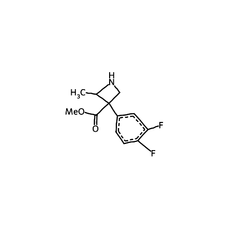 COC(=O)C1(c2ccc(F)c(F)c2)CNC1C